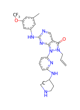 C=CCn1c(=O)c2cnc(Nc3cc(C)cc(OC(F)(F)F)c3)nc2n1-c1cccc(NC2CCNCC2)n1